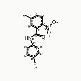 Cc1ccc([N+](=O)[O-])c(C(=O)Nc2ccc(F)cn2)c1